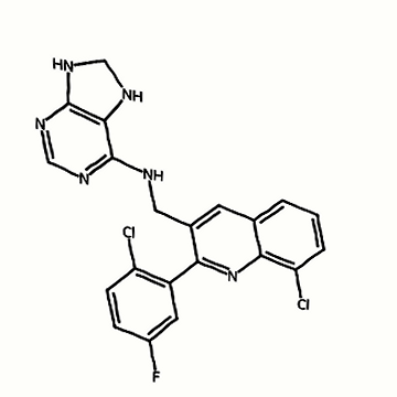 Fc1ccc(Cl)c(-c2nc3c(Cl)cccc3cc2CNc2ncnc3c2NCN3)c1